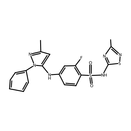 Cc1cc(Nc2ccc(S(=O)(=O)Nc3nc(C)ns3)c(F)c2)n(-c2ccccc2)n1